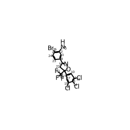 CNc1cc(C2=NOC(c3cc(Cl)c(Cl)c(Cl)c3)(C(F)(F)F)C2)ccc1Br